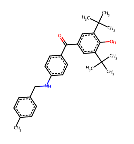 Cc1ccc(CNc2ccc(C(=O)c3cc(C(C)(C)C)c(O)c(C(C)(C)C)c3)cc2)cc1